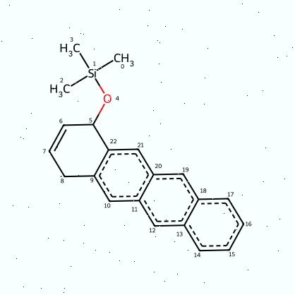 C[Si](C)(C)OC1C=C[CH]c2cc3cc4ccccc4cc3cc21